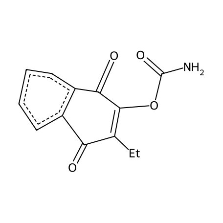 CCC1=C(OC(N)=O)C(=O)c2ccccc2C1=O